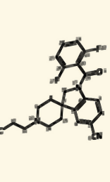 N#Cc1ccc2c(c1)C1(CCN(CCC(F)(F)F)CC1)CN2C(=O)c1c(F)cccc1F